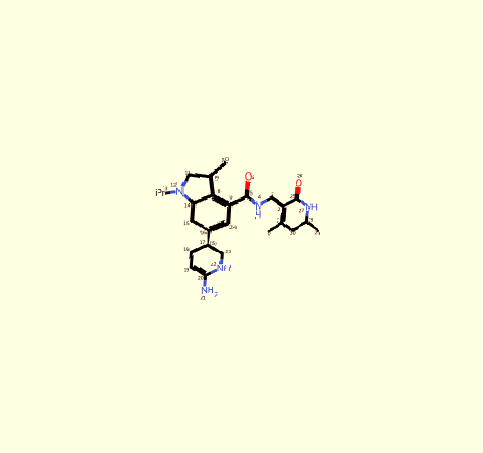 CC1=C(CNC(=O)C2=C3C(C)CN(C(C)C)C3CC([C@@H]3CC=C(N)NC3)=C2)C(=O)NC(C)C1